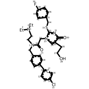 CCN(CC)CCN(Cc1ccc(-c2ccc(Cl)cc2)cc1)C(=O)Cn1cc(CCO)c(=O)nc1SCc1ccc(F)cc1